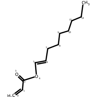 C=CC(=O)O/C=C/CCCCCCC